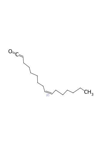 CCCCCC/C=C\CCCCCCC=C=O